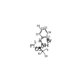 C=CC[C@@H](N[S@@+]([O-])C(C)(C)C)c1cc(C)ccc1Br